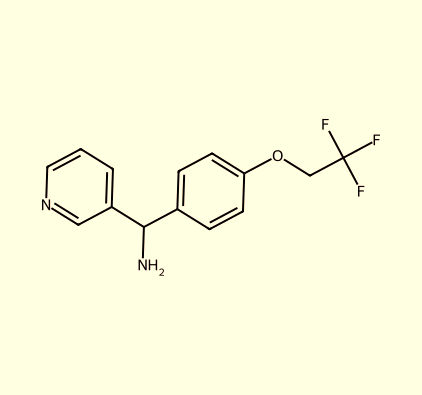 NC(c1ccc(OCC(F)(F)F)cc1)c1cccnc1